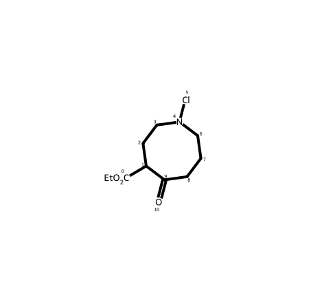 CCOC(=O)C1CCN(Cl)CCCC1=O